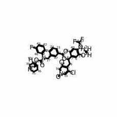 [2H]C([2H])([2H])Oc1cc(C(Cc2c(Cl)c[n+]([O-])cc2Cl)OC(=O)c2cccc(CN(C(=O)O[C@H]3CN4CCC3CC4)c3cccc(F)c3)c2)ccc1OC(F)F